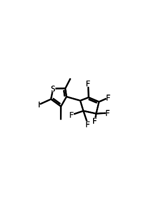 Cc1sc(I)c(C)c1C1C(F)=C(F)C(F)(F)C1(F)F